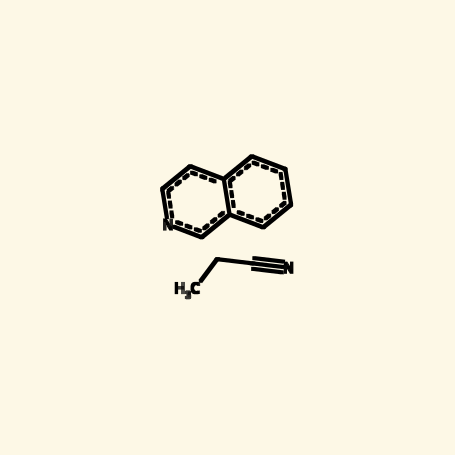 CCC#N.c1ccc2cnccc2c1